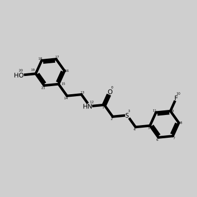 O=C(CSCc1cccc(F)c1)NCCc1cccc(O)c1